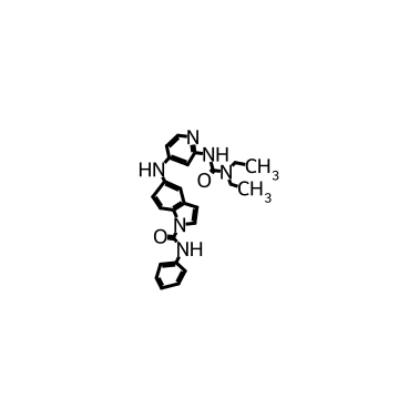 CCN(CC)C(=O)Nc1cc(Nc2ccc3c(ccn3C(=O)Nc3ccccc3)c2)ccn1